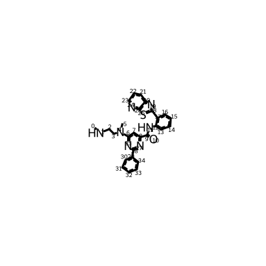 CNCCN(C)c1cc(C(=O)Nc2ccccc2-c2nc3cccnc3s2)nc(-c2ccccc2)n1